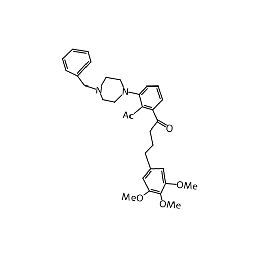 COc1cc(CCCC(=O)c2cccc(N3CCN(Cc4ccccc4)CC3)c2C(C)=O)cc(OC)c1OC